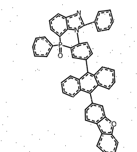 O=P1(c2ccccc2)c2cc(-c3c4ccccc4c(-c4ccc5c(c4)oc4ccccc45)c4ccccc34)ccc2-n2c(-c3ccccc3)nc3cccc1c32